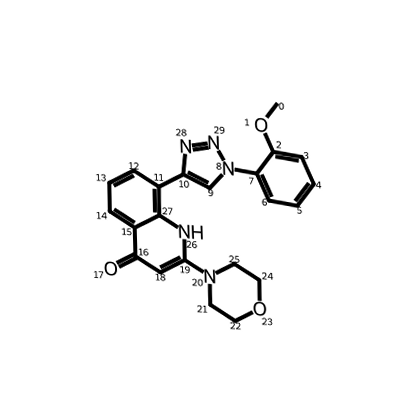 COc1ccccc1-n1cc(-c2cccc3c(=O)cc(N4CCOCC4)[nH]c23)nn1